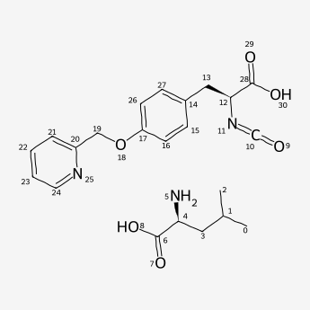 CC(C)C[C@H](N)C(=O)O.O=C=N[C@@H](Cc1ccc(OCc2ccccn2)cc1)C(=O)O